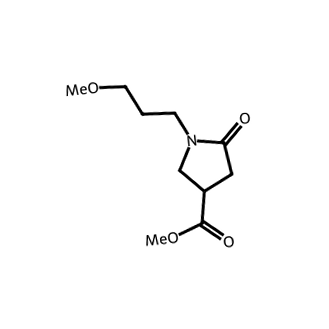 COCCCN1CC(C(=O)OC)CC1=O